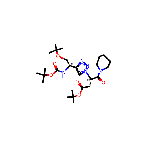 CC(C)(C)OC[C@H](NC(=O)OC(C)(C)C)c1cn([C@@H](CC(=O)OC(C)(C)C)C(=O)N2CCCCC2)nn1